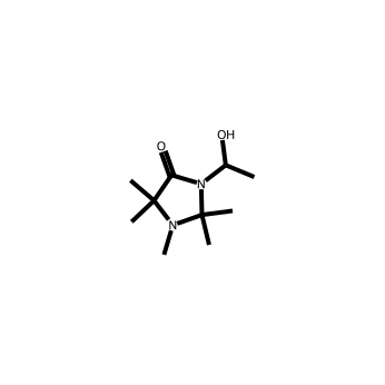 CC(O)N1C(=O)C(C)(C)N(C)C1(C)C